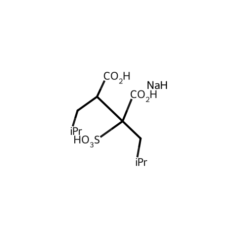 CC(C)CC(C(=O)O)C(CC(C)C)(C(=O)O)S(=O)(=O)O.[NaH]